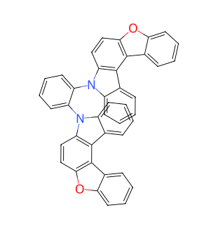 c1ccc(-n2c3ccccc3c3c4c(ccc32)oc2ccccc24)c(-n2c3ccccc3c3c4c(ccc32)oc2ccccc24)c1